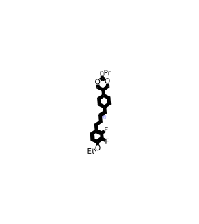 CCCC1OCC(C2CCC(/C=C/CCc3ccc(OCC)c(F)c3F)CC2)CO1